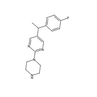 CC(c1ccc(F)cc1)c1cnc(N2CCNCC2)nc1